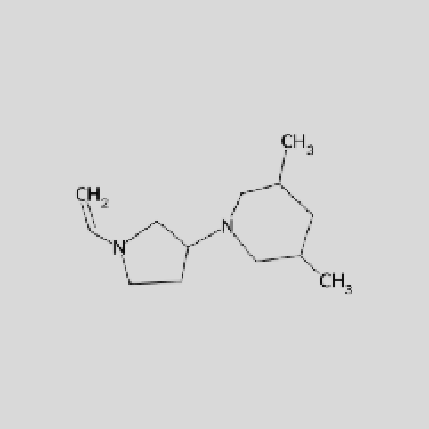 C=CN1CCC(N2CC(C)CC(C)C2)C1